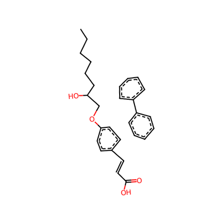 CCCCCCC(O)COc1ccc(C=CC(=O)O)cc1.c1ccc(-c2ccccc2)cc1